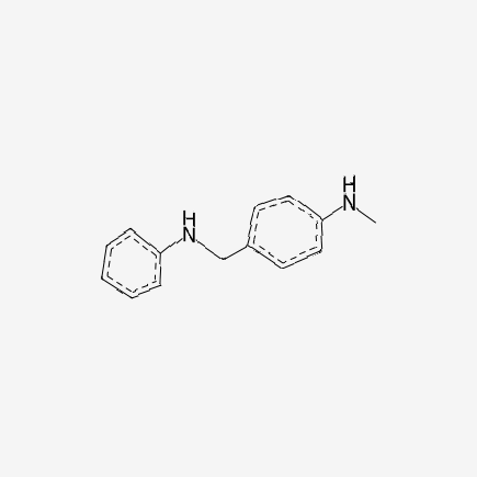 CNc1ccc(CNc2ccccc2)cc1